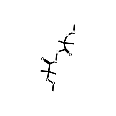 COOC(C)(C)C(=O)OOC(=O)C(C)(C)OOC